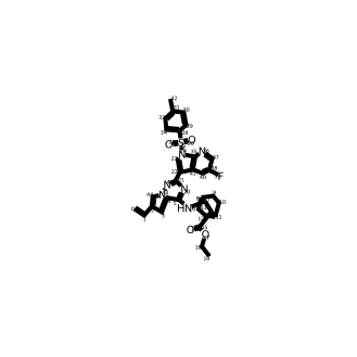 C=Cc1cc2c(NC3C4CCC(CC4)C3C(=O)OCC)nc(-c3cn(S(=O)(=O)c4ccc(C)cc4)c4ncc(F)cc34)nn2c1